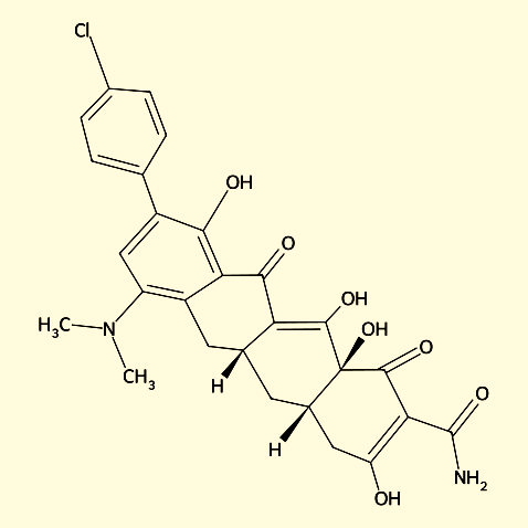 CN(C)c1cc(-c2ccc(Cl)cc2)c(O)c2c1C[C@H]1C[C@H]3CC(O)=C(C(N)=O)C(=O)[C@@]3(O)C(O)=C1C2=O